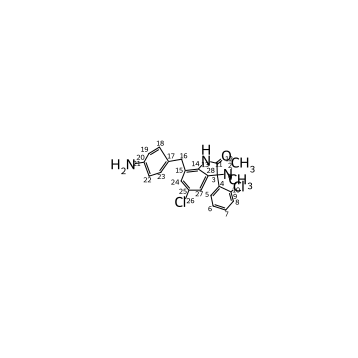 CN(C)C1(c2ccccc2Cl)C(=O)Nc2c(Cc3ccc(N)cc3)cc(Cl)cc21